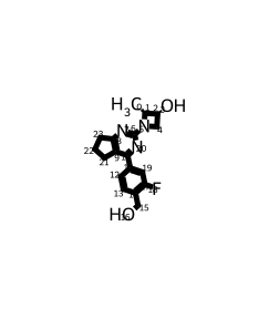 C[C@H]1[C@H](O)CN1c1nc2c(c(-c3ccc(CO)c(F)c3)n1)CCC2